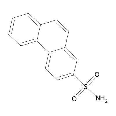 NS(=O)(=O)c1ccc2c(ccc3ccccc32)c1